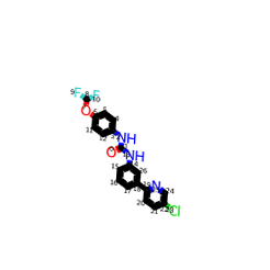 O=C(Nc1ccc(OC(F)F)cc1)Nc1cccc(-c2ccc(Cl)cn2)c1